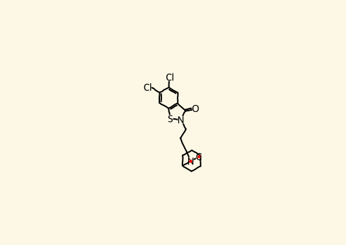 O=c1c2cc(Cl)c(Cl)cc2sn1CCN1CC2CCC(CC2)C1